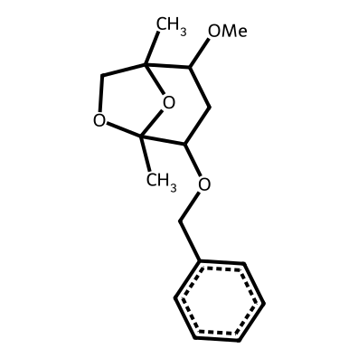 COC1CC(OCc2ccccc2)C2(C)OCC1(C)O2